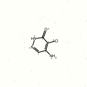 Nc1cn[nH]c(=O)c1Cl